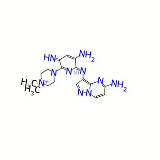 C[N+]1(C)CCN(C2=N/C(=N\c3cnn4ccc(N)nc34)C(N)=CC2=N)CC1